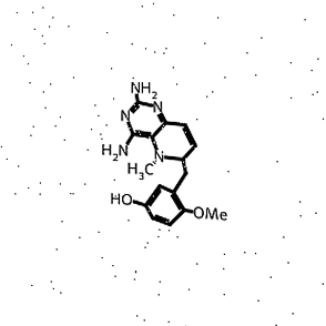 COc1ccc(O)cc1CC1C=Cc2nc(N)nc(N)c2N1C